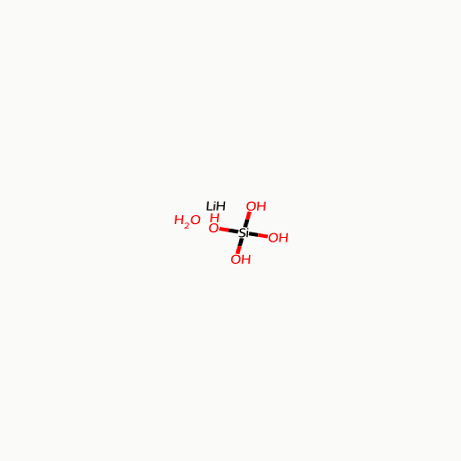 O.O[Si](O)(O)O.[LiH]